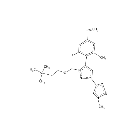 C=Cc1cc(C)c(-c2cc(-c3cnn(C)c3)nn2COCC[Si](C)(C)C)c(F)c1